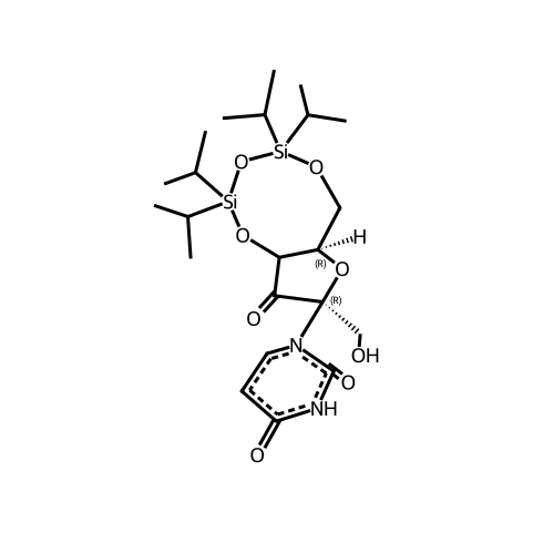 CC(C)[Si]1(C(C)C)OC[C@H]2O[C@@](CO)(n3ccc(=O)[nH]c3=O)C(=O)C2O[Si](C(C)C)(C(C)C)O1